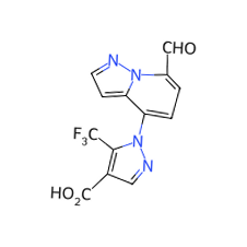 O=Cc1ccc(-n2ncc(C(=O)O)c2C(F)(F)F)c2ccnn12